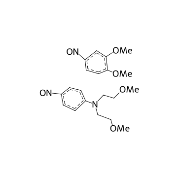 COCCN(CCOC)c1ccc(N=O)cc1.COc1ccc(N=O)cc1OC